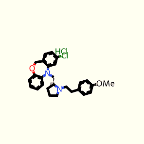 COc1ccc(CCN2CCC[C@@H]2CN2c3cc(Cl)ccc3COc3ccccc32)cc1.Cl